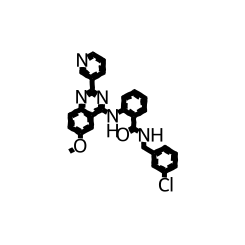 COc1ccc2nc(-c3cccnc3)nc(Nc3ccccc3C(=O)NCc3cccc(Cl)c3)c2c1